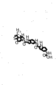 Cc1csc2c1[C@]13C[C@H]1CN(C(=O)c1cc4cc(NC(=O)c5cc6cc(NC(=O)O)ccc6[nH]5)ccc4[nH]1)C3=CC2=O